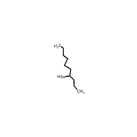 CCCCCC[CH]([SnH])CCC